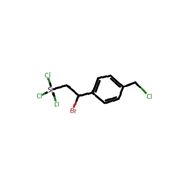 ClCc1ccc(C(Br)C[Si](Cl)(Cl)Cl)cc1